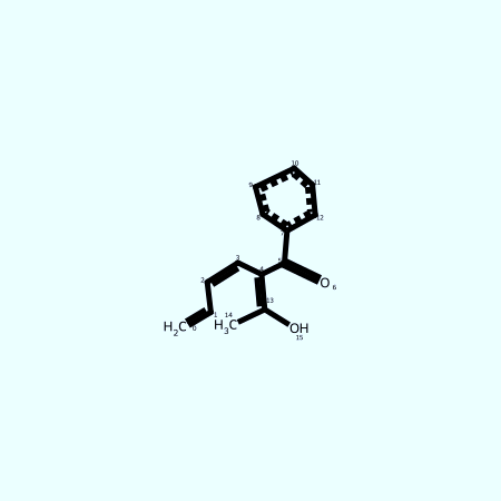 C=C/C=C\C(C(=O)c1ccccc1)=C(/C)O